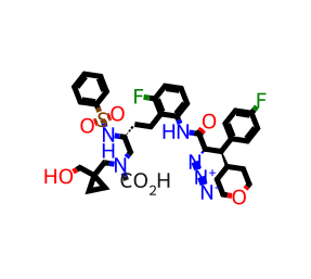 [N-]=[N+]=N[C@H](C(=O)Nc1cccc(F)c1CC[C@H](CN(CC1(CO)CC1)C(=O)O)NS(=O)(=O)c1ccccc1)[C@@H](c1ccc(F)cc1)C1CCOCC1